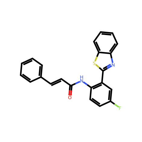 O=C(C=Cc1ccccc1)Nc1ccc(F)cc1-c1nc2ccccc2s1